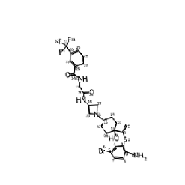 C=C(Sc1cc(Br)ccc1N)C1(O)CCC(N2CC(NC(=O)CNC(=O)c3cccc(C(F)(F)F)c3)C2)CC1